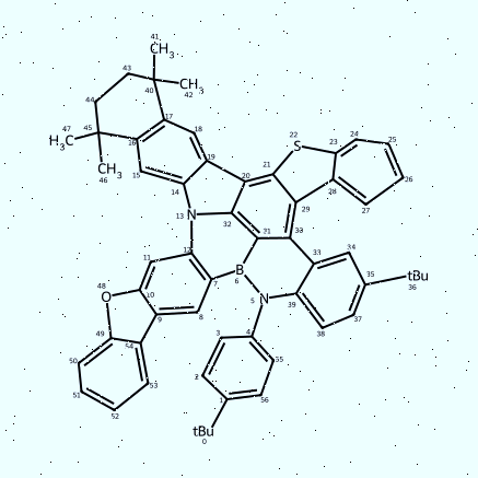 CC(C)(C)c1ccc(N2B3c4cc5c(cc4-n4c6cc7c(cc6c6c8sc9ccccc9c8c(c3c64)-c3cc(C(C)(C)C)ccc32)C(C)(C)CCC7(C)C)oc2ccccc25)cc1